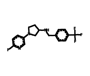 Fc1ccc(N2CCC(NCc3ccc(C(F)(F)F)cc3)C2)cn1